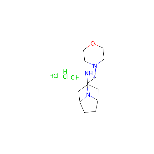 Cl.Cl.Cl.NC1CC2CCC(C1)N2CCN1CCOCC1